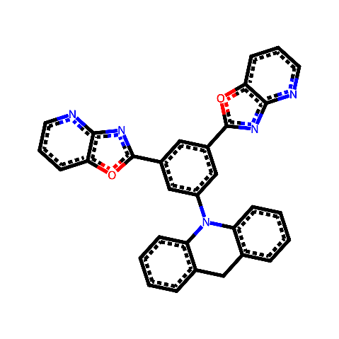 c1ccc2c(c1)Cc1ccccc1N2c1cc(-c2nc3ncccc3o2)cc(-c2nc3ncccc3o2)c1